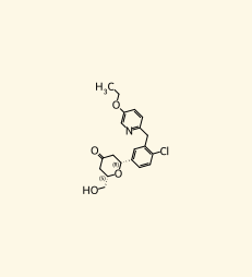 CCOc1ccc(Cc2cc([C@H]3CC(=O)C[C@@H](CO)O3)ccc2Cl)nc1